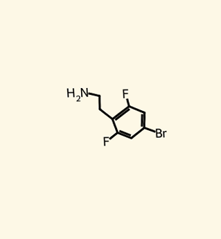 NCCc1c(F)cc(Br)cc1F